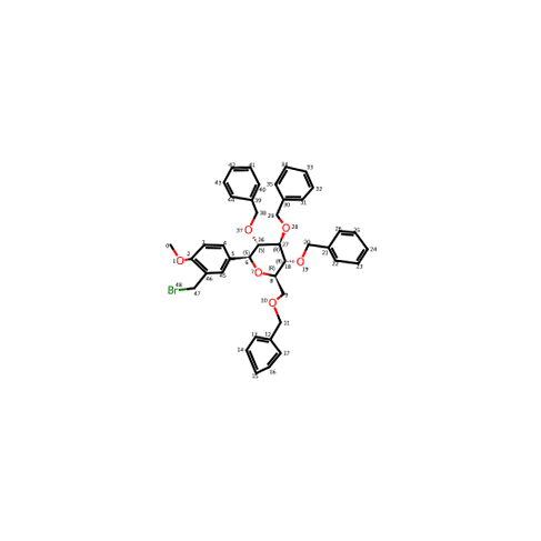 COc1ccc([C@@H]2O[C@H](COCc3ccccc3)[C@@H](OCc3ccccc3)[C@H](OCc3ccccc3)[C@H]2OCc2ccccc2)cc1CBr